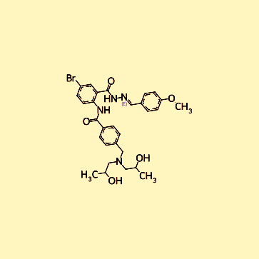 COc1ccc(/C=N/NC(=O)c2cc(Br)ccc2NC(=O)c2ccc(CN(CC(C)O)CC(C)O)cc2)cc1